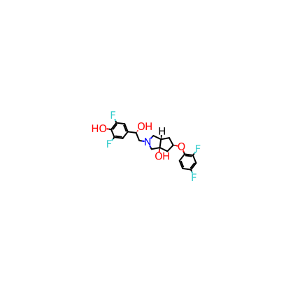 Oc1c(F)cc([C@H](O)CN2C[C@@H]3C[C@@H](Oc4ccc(F)cc4F)C[C@]3(O)C2)cc1F